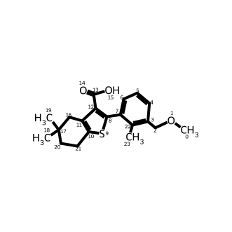 COCc1cccc(-c2sc3c(c2C(=O)O)CC(C)(C)CC3)c1C